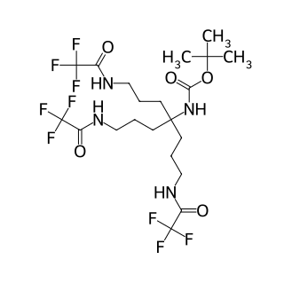 CC(C)(C)OC(=O)NC(CCCNC(=O)C(F)(F)F)(CCCNC(=O)C(F)(F)F)CCCNC(=O)C(F)(F)F